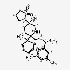 C[C@@H](OC[C@@]1(C2(C)C=CC=CC2)CC[C@](C#N)(N2CCCS2(=O)=O)CN1)c1cc(C(F)(F)F)cc(C(F)(F)F)c1